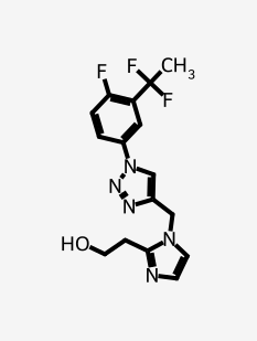 CC(F)(F)c1cc(-n2cc(Cn3ccnc3CCO)nn2)ccc1F